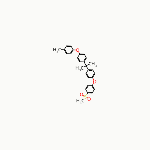 Cc1ccc(Oc2ccc(C(C)(C)c3ccc(Oc4ccc(S(C)(=O)=O)cc4)cc3)cc2)cc1